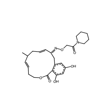 CC1/C=C/CCOC(=O)c2c(O)cc(O)cc2CC(=NOCC(=O)N2CCCCC2)/C=C/C1